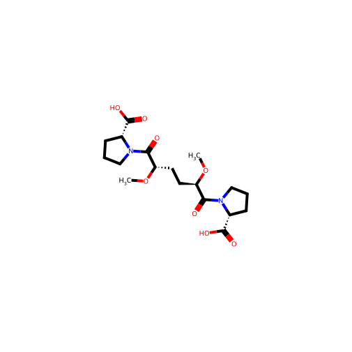 CO[C@@H](CC[C@@H](OC)C(=O)N1CCC[C@@H]1C(=O)O)C(=O)N1CCC[C@@H]1C(=O)O